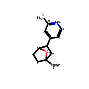 CNC12CCC(O1)C(c1ccnc(C)c1)C2